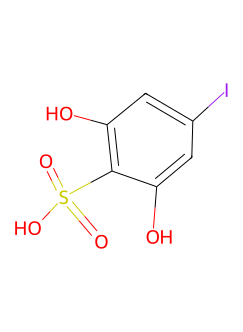 O=S(=O)(O)c1c(O)cc(I)cc1O